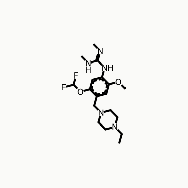 CCN1CCN(Cc2cc(OC)c(N/C(=N/C)NC)cc2OC(F)F)CC1